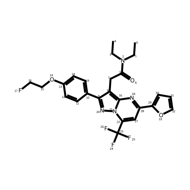 CCN(CC)C(=O)Cc1c(-c2ccc(OCCF)cc2)nn2c(C(F)(F)F)cc(-c3ccco3)nc12